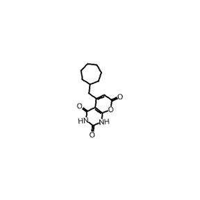 O=c1[nH]c(=O)c2c(CC3CCCCCC3)cc(=O)oc2[nH]1